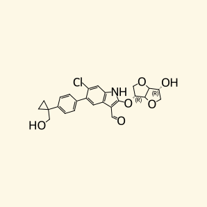 O=Cc1c(O[C@@H]2COC3C2OC[C@H]3O)[nH]c2cc(Cl)c(-c3ccc(C4(CO)CC4)cc3)cc12